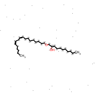 CCCCC/C=C\C/C=C\CCCCCCCCOC[C@H](O)CCCCCCCCC